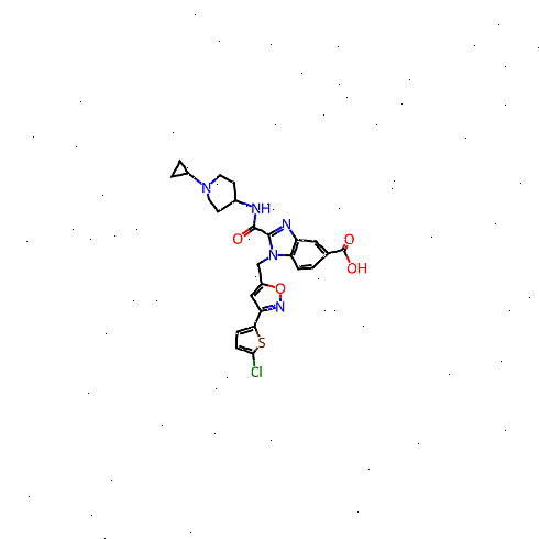 O=C(O)c1ccc2c(c1)nc(C(=O)NC1CCN(C3CC3)CC1)n2Cc1cc(-c2ccc(Cl)s2)no1